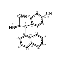 CSC(=N)N(c1ccc(C#N)cc1)c1cccc2ccccc12